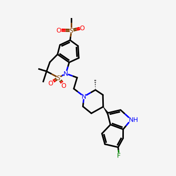 C[C@@H]1C[C@@H](c2c[nH]c3cc(F)ccc23)CCN1CCN1c2ccc(S(C)(=O)=O)cc2CC(C)(C)S1(=O)=O